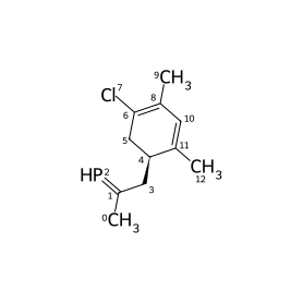 CC(=P)C[C@H]1CC(Cl)=C(C)C=C1C